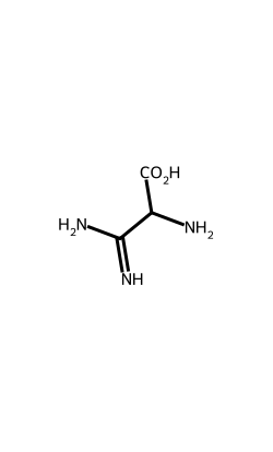 N=C(N)C(N)C(=O)O